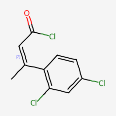 C/C(=C/C(=O)Cl)c1ccc(Cl)cc1Cl